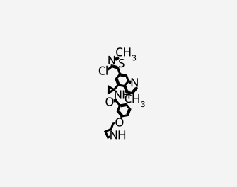 Cc1nc(Cl)c(-c2cc(C3(NC(=O)c4cc(OCC5CCN5)ccc4C)CC3)c3cccnc3c2)s1